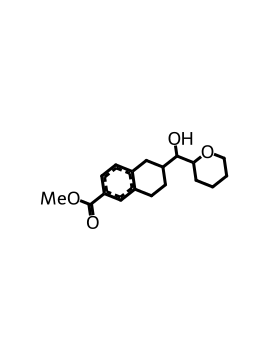 COC(=O)c1ccc2c(c1)CCC(C(O)C1CCCCO1)C2